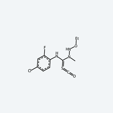 CCONN(C)C(Nc1ccc(Cl)cc1F)=S=C=O